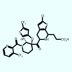 CCC[C@H]1N(C(=O)c2ncccc2C(F)(F)F)CCC[C@@]1(Oc1csc(C(F)(F)F)c1)C(=O)C1Cc2cc(Cl)sc2C(CCC(=O)O)N1